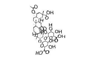 CC(=O)O[C@@H]1C[C@](C)(C(=O)O)C[C@H]2C3=CC(=O)[C@@H]4[C@@]5(C)CC[C@H](O[C@@H]6O[C@H](C(=O)O)[C@@H](O)[C@H](O)[C@H]6O[C@@H]6O[C@H](C(=O)O)[C@@H](O)[C@H](O)[C@H]6O)C(C)(C)[C@@H]5CC[C@@]4(C)[C@]3(C)CC[C@@]12C